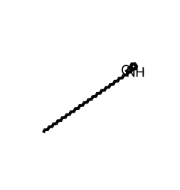 CCCCCCCCCCCCCCCCCCCCCCCCCCCCCCCCCCCCCCCC(=O)Nc1ccccc1